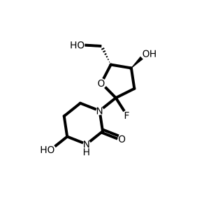 O=C1NC(O)CCN1C1(F)C[C@H](O)[C@@H](CO)O1